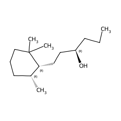 CCC[C@@H](O)CC[C@@H]1[C@H](C)CCCC1(C)C